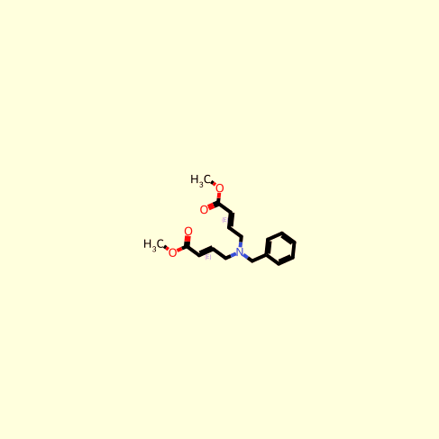 COC(=O)/C=C/CN(C/C=C/C(=O)OC)Cc1ccccc1